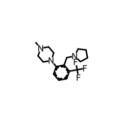 CN1CCN(c2cccc(C(F)(F)F)c2CN2CCCC2)CC1